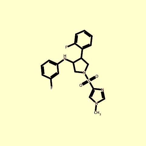 Cn1cnc(S(=O)(=O)N2CC(Nc3cccc(F)c3)C(c3ccccc3F)C2)c1